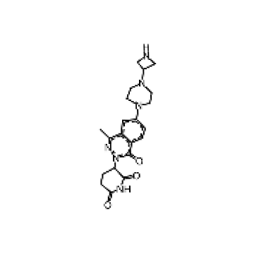 Cc1nn(C2CCC(=O)NC2=O)c(=O)c2ccc(N3CCN(C4CNC4)CC3)cc12